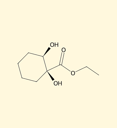 CCOC(=O)[C@]1(O)CCCC[C@H]1O